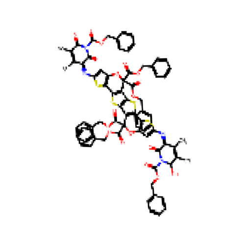 CC1=C(C#N)C(=O)N(C(=O)OCc2ccccc2)C(=O)/C1=N\c1cc2c(s1)-c1sc3c4c(sc3c1C(C(=O)OCc1ccccc1)(C(=O)OCc1ccccc1)O2)-c1sc(/N=C2\C(=O)N(C(=O)OCc3ccccc3)C(O)C(C#N)=C2C)cc1OC4(C(=O)OCc1ccccc1)C(=O)OCc1ccccc1